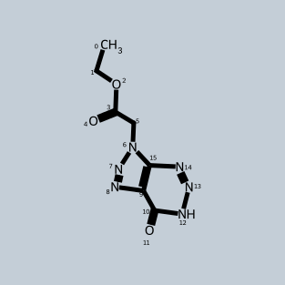 CCOC(=O)Cn1nnc2c(=O)[nH]nnc21